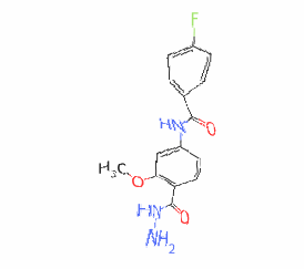 COc1cc(NC(=O)c2ccc(F)cc2)ccc1C(=O)NN